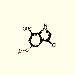 COc1cc(C=O)c2[nH]cc(Cl)c2c1